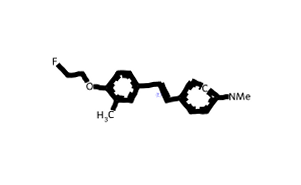 CNc1ccc(/C=C/c2ccc(OCCF)c(C)c2)cc1